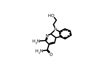 NC(=O)C1=CC2c3ccccc3N(CCO)C2N=C1N